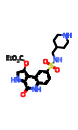 CCOC(=O)Oc1c[nH]c2c(=O)[nH]c3ccc(S(=O)(=O)NCC4CCNCC4)cc3c12